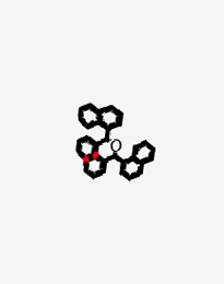 c1ccc(C(OC(c2ccccc2)c2cccc3ccccc23)c2cccc3ccccc23)cc1